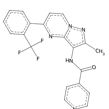 Cc1nn2ccc(-c3ccccc3C(F)(F)F)nc2c1NC(=O)c1ccncc1